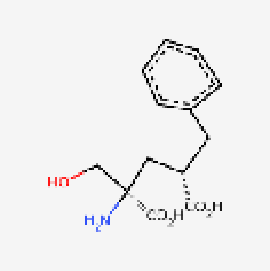 N[C@@](CO)(C[C@H](Cc1ccccc1)C(=O)O)C(=O)O